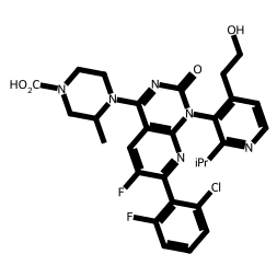 CC(C)c1nccc(CCO)c1-n1c(=O)nc(N2CCN(C(=O)O)CC2C)c2cc(F)c(-c3c(F)cccc3Cl)nc21